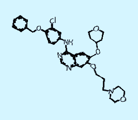 Clc1cc(Nc2ncnc3cc(OCCCN4CCOCC4)c(OC4CCOCC4)cc23)ccc1OCc1ccccc1